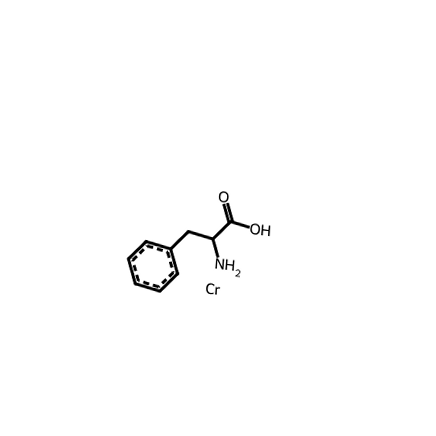 NC(Cc1ccccc1)C(=O)O.[Cr]